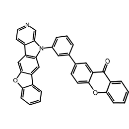 O=c1c2ccccc2oc2ccc(-c3cccc(-n4c5cnccc5c5cc6oc7ccccc7c6cc54)c3)cc12